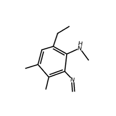 C=Nc1c(C)c(C)cc(CC)c1NC